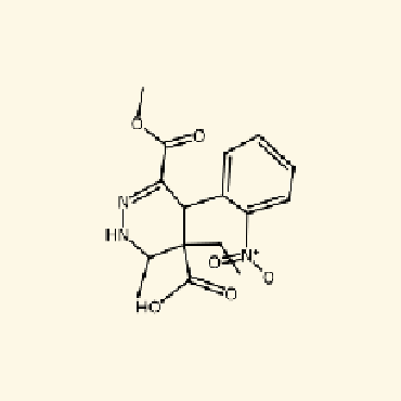 CCC1(C(=O)O)C(C)NN=C(C(=O)OC)C1c1ccccc1[N+](=O)[O-]